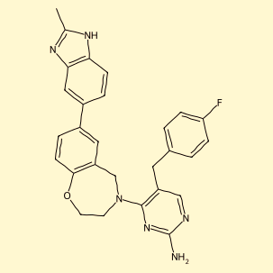 Cc1nc2cc(-c3ccc4c(c3)CN(c3nc(N)ncc3Cc3ccc(F)cc3)CCO4)ccc2[nH]1